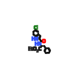 CCOC(=O)C(Cc1ccccc1)NC(=O)c1cc2cc(Cl)ccc2[nH]1